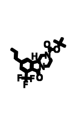 CC=Cc1cc2c(c(C(F)(F)F)c1)C(=O)N1CCN(C(=O)OC(C)(C)C)C[C@@H]21